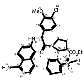 CCOC(=O)[C@H]1CCN(C(=O)[C@H](Nc2ccc3c(N)nccc3c2)c2ccc(Cl)c(OC)c2)[C@H]1c1ccccc1S(=O)(=O)CC